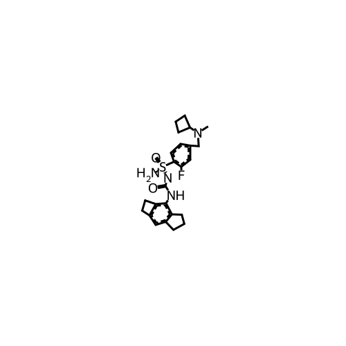 CN(Cc1ccc([S@@](N)(=O)=NC(=O)Nc2c3c(cc4c2CC4)CCC3)c(F)c1)C1CCC1